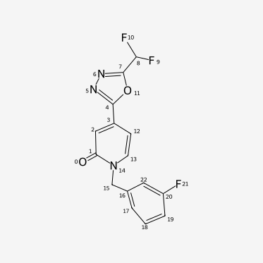 O=c1cc(-c2nnc(C(F)F)o2)ccn1Cc1cccc(F)c1